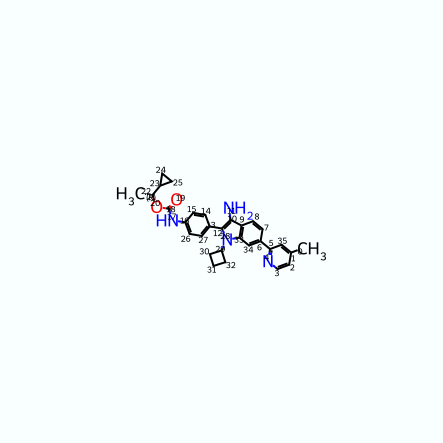 Cc1ccnc(-c2ccc3c(N)c(-c4ccc(NC(=O)O[C@H](C)C5CC5)cc4)n(C4CCC4)c3c2)c1